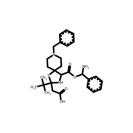 CC(C)(C)C1(CC(=O)O)NC(C(=O)OC(N)c2ccccc2)C2(CCN(Cc3ccccc3)CC2)S1